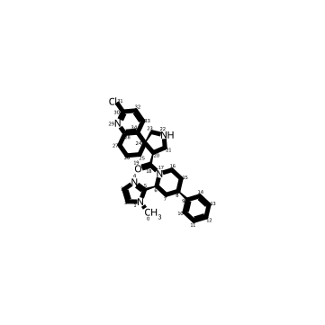 Cn1ccnc1[C@@H]1C[C@H](c2ccccc2)CCN1C(=O)[C@@H]1CNC[C@]12CCCc1nc(Cl)ccc12